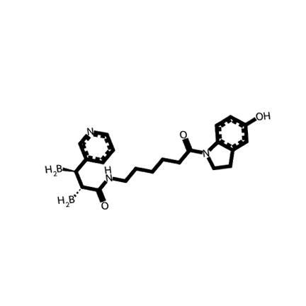 B[C@@H](C(=O)NCCCCCC(=O)N1CCc2cc(O)ccc21)[C@@H](B)c1cccnc1